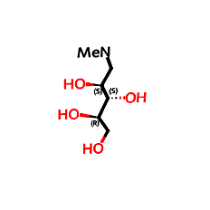 CNC[C@H](O)[C@H](O)[C@H](O)CO